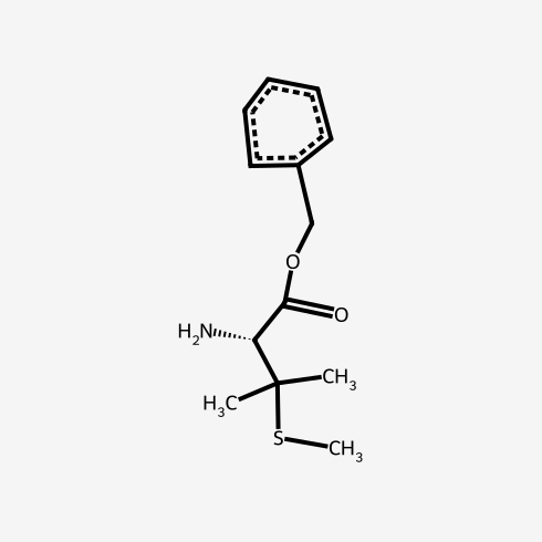 CSC(C)(C)[C@H](N)C(=O)OCc1ccccc1